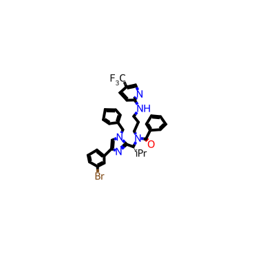 CC(C)[C@H](c1nc(-c2cccc(Br)c2)cn1Cc1ccccc1)N(CCCNc1ccc(C(F)(F)F)cn1)C(=O)c1ccccc1